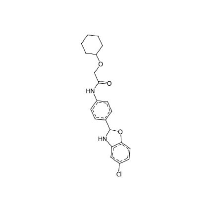 O=C(COC1CCCCC1)Nc1ccc(C2Nc3cc(Cl)ccc3O2)cc1